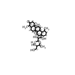 CC1CCCC2(C(O)C(O)C(C)OC(C)C(O)CO)CCC3C(=CCC4C3(C)CCC3C(C)C(=O)CCC34C)C12